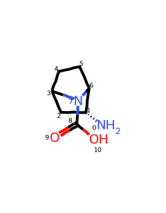 N[C@@H]1CC2CCC1N2C(=O)O